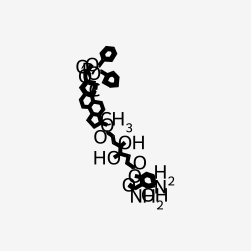 CC12CCC3c4ccc(OP(=O)(OCc5ccccc5)OCc5ccccc5)cc4CCC3C1CCC2OC(=O)CCC(O)C(O)CCC(=O)Oc1ccc(N)c(O)c1C(N)=O